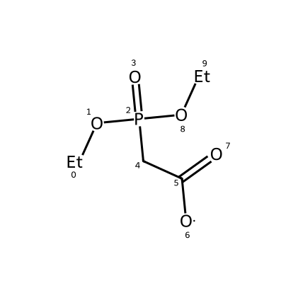 CCOP(=O)(CC([O])=O)OCC